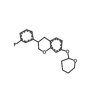 Fc1cccc(C2COc3cc(OC4CCCCO4)ccc3C2)c1